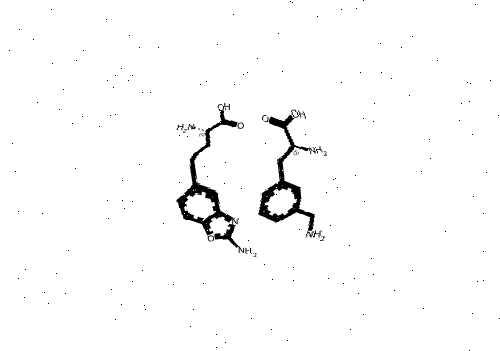 NCc1cccc(C[C@H](N)C(=O)O)c1.Nc1nc2cc(CC[C@H](N)C(=O)O)ccc2o1